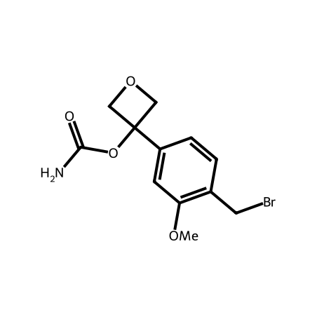 COc1cc(C2(OC(N)=O)COC2)ccc1CBr